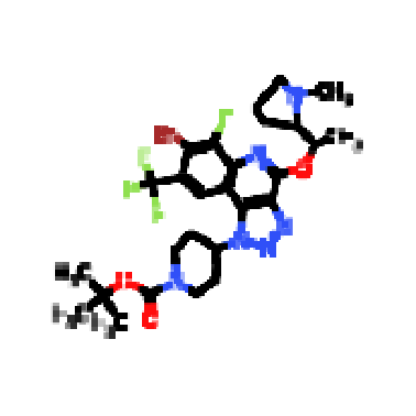 CC(Oc1nc2c(F)c(Br)c(C(F)(F)F)cc2c2c1nnn2C1CCN(C(=O)OC(C)(C)C)CC1)C1CCCN1C